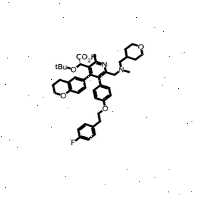 Cc1nc(CN(C)CC2CCOCC2)c(-c2ccc(OCCc3ccc(F)cc3)cc2)c(-c2ccc3c(c2)CCCO3)c1[C@H](OC(C)(C)C)C(=O)O